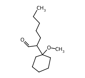 CCCCCC(C=O)C1(OC)CCCCC1